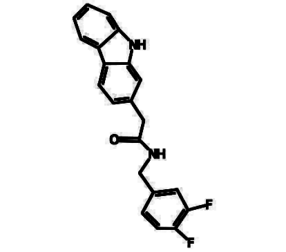 O=C(Cc1ccc2c(c1)[nH]c1ccccc12)NCc1ccc(F)c(F)c1